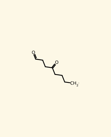 [CH2]CCCC(=O)CCC=O